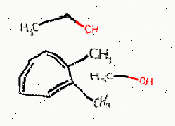 CCO.CO.Cc1ccccc1C